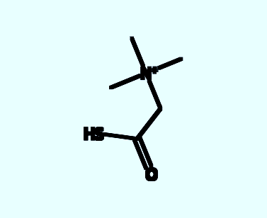 C[N+](C)(C)CC(=O)S